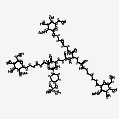 CC(=O)NC1C(OCCOCCNC(=O)CCC(NC(=O)CCC(NC(=O)[C@H]2CC[C@@H](OP(C)(=O)O)CC2)C(=O)NCCOCCOC2OC(CO)C(O)C(O)C2NC(C)=O)C(=O)NCCOCCOC2OC(CO)C(O)C(O)C2NC(C)=O)OC(CO)C(O)C1O